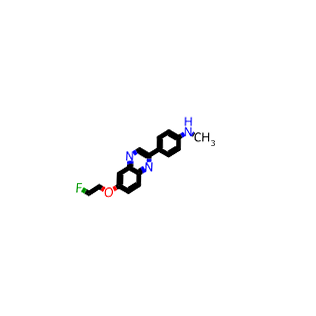 CNc1ccc(-c2cnc3cc(OCCF)ccc3n2)cc1